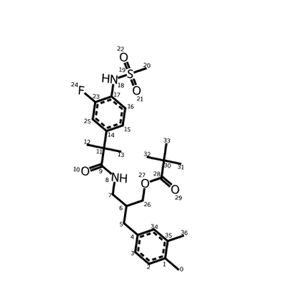 Cc1ccc(CC(CNC(=O)C(C)(C)c2ccc(NS(C)(=O)=O)c(F)c2)COC(=O)C(C)(C)C)cc1C